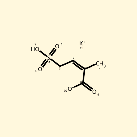 CC(=CCS(=O)(=O)O)C(=O)[O-].[K+]